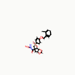 Cc1ccccc1COc1ccc(S(=O)(=O)CC2(C(=O)NO)CC3OCOC3C2)cc1